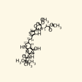 COC(=O)CC[C@H](NC(=O)c1csc(CCC2CNc3nc(NC(=O)C(C)(C)C)nc(O)c3C2)c1)C(=O)OC